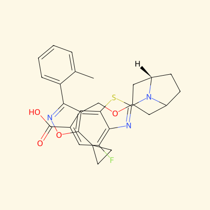 Cc1ccccc1-c1noc(C2CC2)c1COC1CC2CC[C@@H](C1)N2c1nc2c(F)cc(C(=O)O)cc2s1